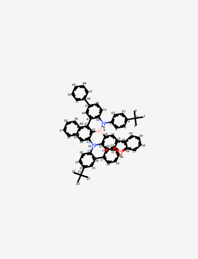 CC(C)(C)c1ccc(N2B3c4cc5c(cc4N(c4ccc(C(C)(C)C)cc4-c4ccccc4)c4cc6ccccc6c(c43)-c3cc(-c4ccccc4)ccc32)oc2ccccc25)cc1